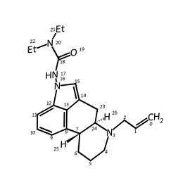 C=CCN1CCC[C@@H]2c3cccc4c3c(cn4NC(=O)N(CC)CC)C[C@H]21